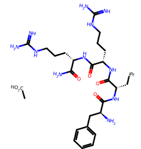 CC(=O)O.CC(C)C[C@H](NC(=O)[C@@H](N)Cc1ccccc1)C(=O)N[C@@H](CCCNC(=N)N)C(=O)N[C@@H](CCCNC(=N)N)C(N)=O